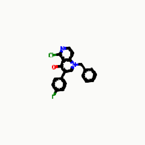 O=c1c(-c2ccc(F)cc2)cn(Cc2ccccc2)c2ccnc(Cl)c12